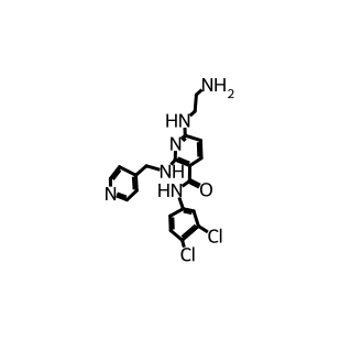 NCCNc1ccc(C(=O)Nc2ccc(Cl)c(Cl)c2)c(NCc2ccncc2)n1